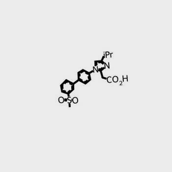 CC(C)c1cn(-c2ccc(-c3cccc(S(C)(=O)=O)c3)cc2)c(CC(=O)O)n1